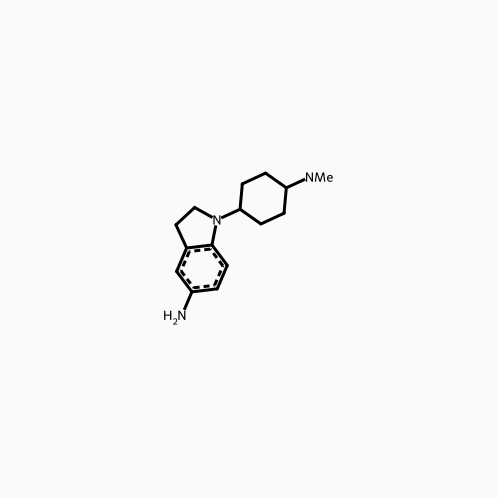 CNC1CCC(N2CCc3cc(N)ccc32)CC1